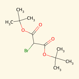 CC(C)(C)OC(=O)C(Br)C(=O)OC(C)(C)C